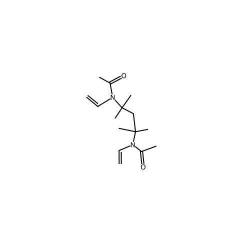 C=CN(C(C)=O)C(C)(C)CC(C)(C)N(C=C)C(C)=O